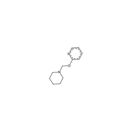 c1ccc(OCN2CCCCC2)nc1